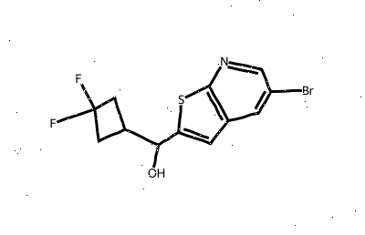 OC(c1cc2cc(Br)cnc2s1)C1CC(F)(F)C1